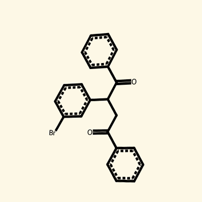 O=C(CC(C(=O)c1ccccc1)c1cccc(Br)c1)c1ccccc1